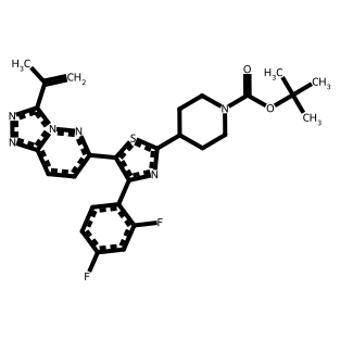 C=C(C)c1nnc2ccc(-c3sc(C4CCN(C(=O)OC(C)(C)C)CC4)nc3-c3ccc(F)cc3F)nn12